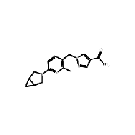 Cc1nc(N2CC3CC3C2)ccc1Cn1cc(C(N)=O)cn1